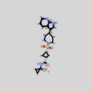 O=C(NC1(C(F)(F)F)CC1)[C@H]1C[C@@H](S(=O)(=O)N2CCC(c3c[nH]c4ncccc34)CC2)C1